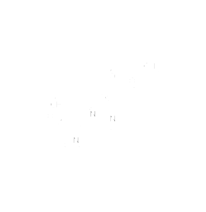 CCOC(=O)CSc1nccc(-c2cc(OC)ccn2)n1